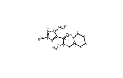 CC(CN1CCCCC1)C(=O)c1cc(Br)no1.Cl